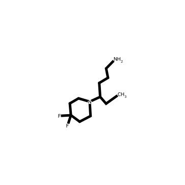 CCC(CCCN)N1CCC(F)(F)CC1